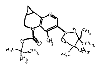 Cc1c(B2OC(C)(C)C(C)(C)O2)cnc2c1N(C(=O)OC(C)(C)C)CC1CC21